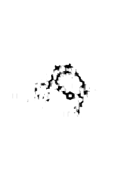 CC(C)[C@H](NC(=O)CCCCC(=O)NCC(C)(C)COCC(C)(C)CNC(=O)CCC(C(=O)O)N1CCN(CC(=O)O)CCN(CC(=O)O)CCN(CC(=O)O)CC1)C(=O)N[C@@H](CCCNC(N)=O)C(=O)Nc1ccc(COC(=O)NCCOCCOCCN)cc1